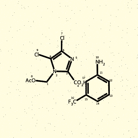 CC(=O)OCn1c(C(=O)O)nc(Cl)c1Cl.Nc1cccc(C(F)(F)F)c1